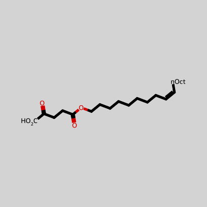 CCCCCCCC/C=C\CCCCCCCCOC(=O)CCC(=O)C(=O)O